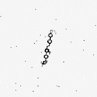 CC1CCC(C2CCC(CCc3ccc(C4CCC(/C(F)=C/C(F)(F)F)CC4)c(F)c3)CC2)CC1